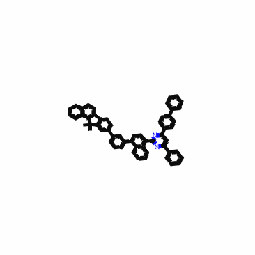 CC1(C)c2cc(-c3cccc(-c4ccc(-c5nc(-c6ccccc6)cc(-c6ccc(-c7ccccc7)cc6)n5)c5ccccc45)c3)ccc2-c2ccc3ccccc3c21